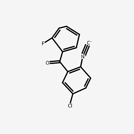 [C-]#[N+]c1ccc(Cl)cc1C(=O)c1ccccc1F